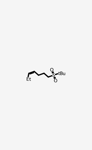 CC/C=C\CCCS(=O)(=O)C(C)(C)C